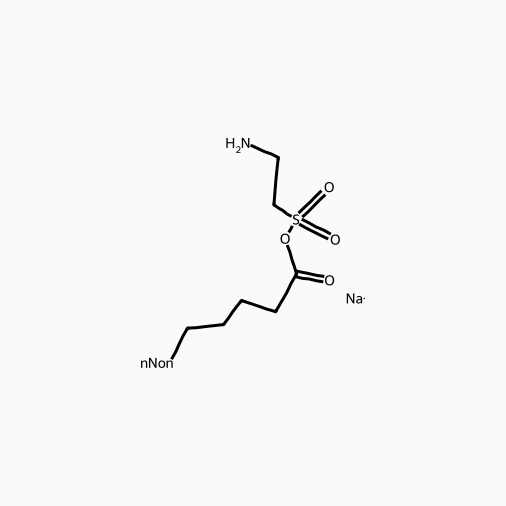 CCCCCCCCCCCCCC(=O)OS(=O)(=O)CCN.[Na]